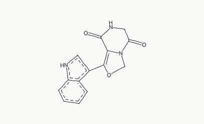 O=C1NCC(=O)N2COC(c3c[nH]c4ccccc34)=C12